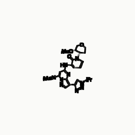 CNc1cc(Nc2cccn([C@H]3CCOC[C@H]3OC)c2=O)nc2c(-c3cn(C(C)C)nn3)cnn12